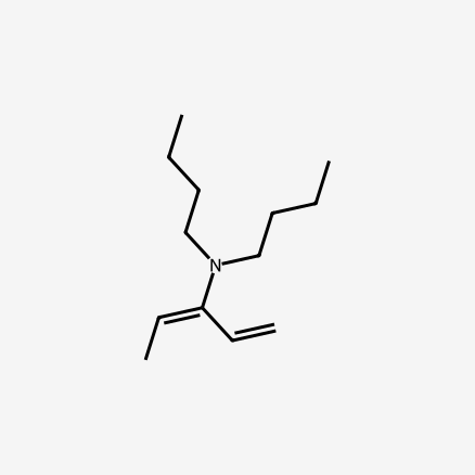 C=C/C(=C\C)N(CCCC)CCCC